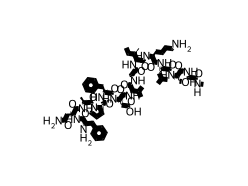 CC[C@H](C)[C@H](NC(=O)CNC(=O)[C@@H](NC(=O)[C@H](CC(=O)O)NC(=O)[C@H](Cc1ccccc1)NC(=O)[C@@H]1CCCN1C(=O)[C@H](C)NC(=O)[C@H](CC(N)=O)NC(=O)[C@@H](N)Cc1ccccc1)C(C)C)C(=O)N[C@@H](CCCCN)C(=O)N[C@@H](CC(C)C)C(=O)N[C@@H](CO)C(=O)NCC(=O)NC